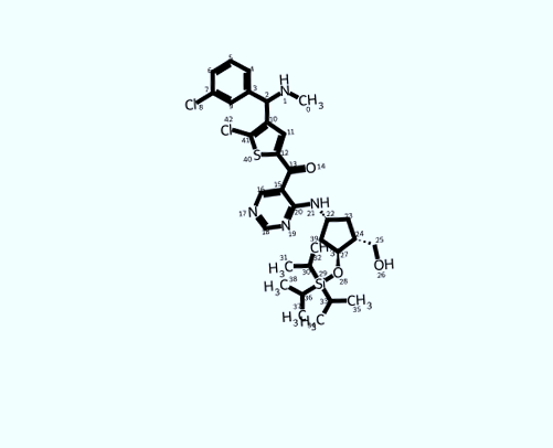 CNC(c1cccc(Cl)c1)c1cc(C(=O)c2cncnc2N[C@@H]2C[C@H](CO)[C@@H](O[Si](C(C)C)(C(C)C)C(C)C)C2)sc1Cl